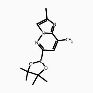 Cc1cn2nc(B3OC(C)(C)C(C)(C)O3)cc(C(F)(F)F)c2n1